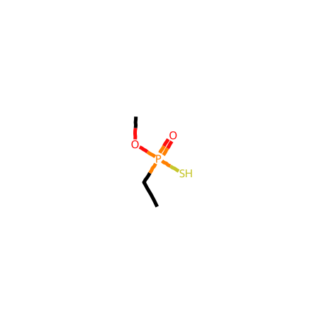 CCP(=O)(S)OC